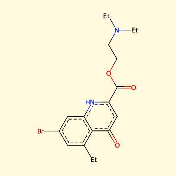 CCc1cc(Br)cc2[nH]c(C(=O)OCCN(CC)CC)cc(=O)c12